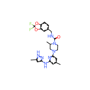 Cc1cc(Nc2cc(C)[nH]n2)nc(N2CCN(C(=O)NCc3ccc4c(c3)OC(F)(F)O4)C(C)C2)c1